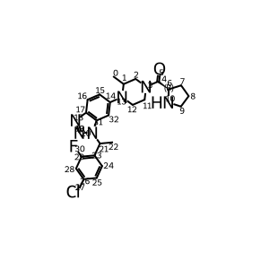 CC1CN(C(=O)[C@H]2CCCN2)CCN1c1ccc2nnn(C(C)c3ccc(Cl)cc3F)c2c1